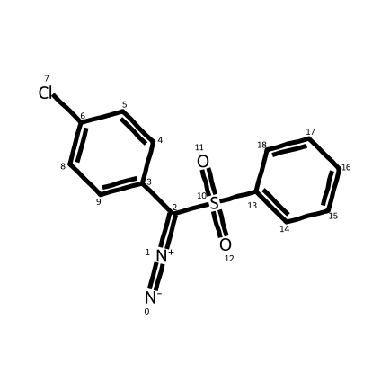 [N-]=[N+]=C(c1ccc(Cl)cc1)S(=O)(=O)c1ccccc1